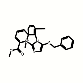 COC(=O)C1=CC=CC23CC=CC(C)=C2n2c(SCc4ccccc4)cnc2[N+]13C